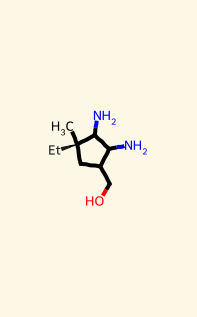 CC[C@]1(C)CC(CO)C(N)C1N